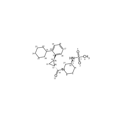 CS(=O)(=O)N[C@H]1CCCN(C(=O)[C@@H]2C[C@H]2c2ccccc2C2CCCCC2)C1